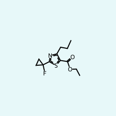 CCCc1nc(C2(F)CC2)sc1C(=O)OCC